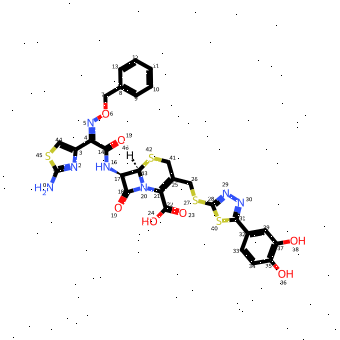 Nc1nc(/C(=N/OCc2ccccc2)C(=O)N[C@@H]2C(=O)N3C(C(=O)O)=C(CSc4nnc(-c5ccc(O)c(O)c5)s4)CS[C@H]23)cs1